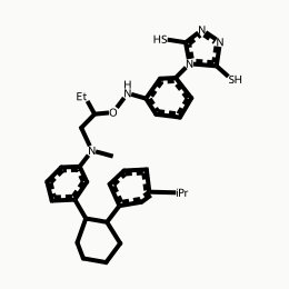 CCC(CN(C)c1cccc(C2CCCCC2c2cccc(C(C)C)c2)c1)ONc1cccc(-n2c(S)nnc2S)c1